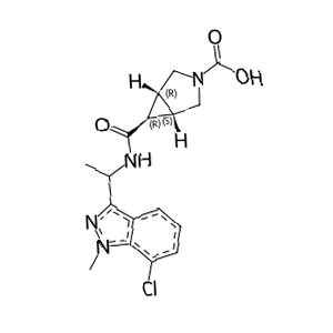 CC(NC(=O)[C@H]1[C@@H]2CN(C(=O)O)C[C@@H]21)c1nn(C)c2c(Cl)cccc12